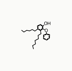 CCCCCCCc1c(CCCCCC)ccc(O)c1Oc1ccccc1